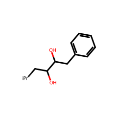 CC(C)CC(O)C(O)Cc1ccccc1